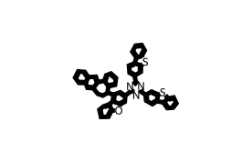 c1ccc2c(c1)-c1cc3ccccc3cc1CCC2c1cc(-c2nc(-c3ccc4c(c3)sc3ccccc34)nc(-c3ccc4c(c3)sc3ccccc34)n2)cc2oc3ccccc3c12